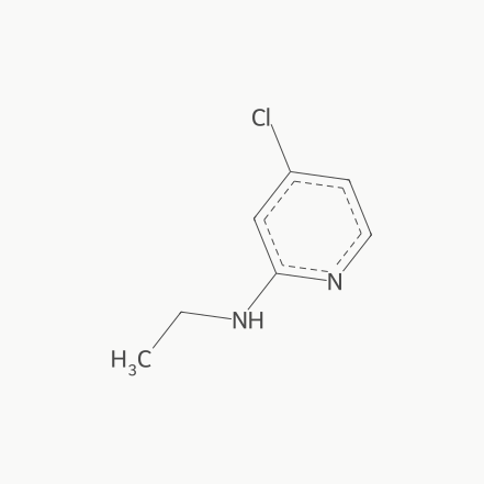 CCNc1cc(Cl)ccn1